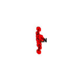 C=CC(=O)OCCCCCCOC1CCC(C(=O)OC2CCC(C(=O)Oc3ccc(OC(=O)C4CCC(OC(=O)C5CCC(OCCCCCCOC(=O)C=C)CC5)CC4)c4c3SC(=C(C#N)C(=O)OCCOC(=O)C=C)S4)CC2)CC1